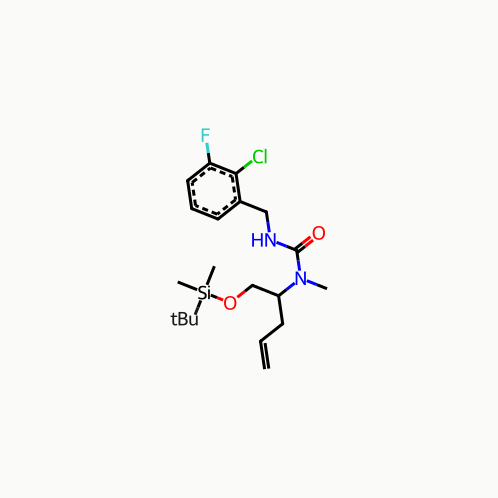 C=CCC(CO[Si](C)(C)C(C)(C)C)N(C)C(=O)NCc1cccc(F)c1Cl